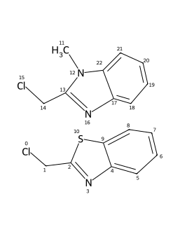 ClCc1nc2ccccc2s1.Cn1c(CCl)nc2ccccc21